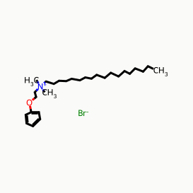 CCCCCCCCCCCCCCCCCC[N+](C)(C)CCOc1ccccc1.[Br-]